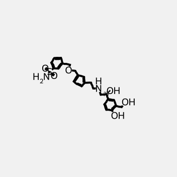 NS(=O)(=O)c1cccc(COCc2cccc(CCNC[C@@H](O)c3ccc(O)c(CO)c3)c2)c1